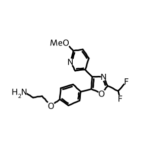 COc1ccc(-c2nc(C(F)F)oc2-c2ccc(OCCN)cc2)cn1